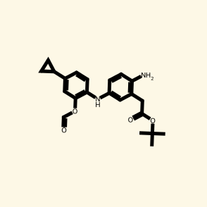 CC(C)(C)OC(=O)Cc1cc(Nc2ccc(C3CC3)cc2OC=O)ccc1N